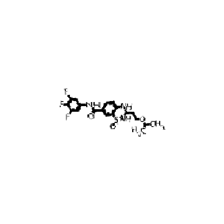 CC(C)OCCC1Nc2ccc(C(=O)Nc3cc(F)c(F)c(F)c3)cc2[S+]([O-])N1